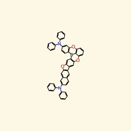 c1ccc(N(c2ccccc2)c2ccc3c(c2)Oc2cccc4c2B3c2cc3oc5cc6cc(N(c7ccccc7)c7ccccc7)ccc6cc5c3cc2O4)cc1